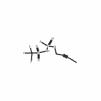 CC#CCOP(=O)(F)NS(=O)(=O)C(F)(F)F